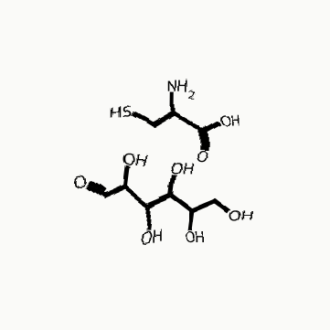 NC(CS)C(=O)O.O=CC(O)C(O)C(O)C(O)CO